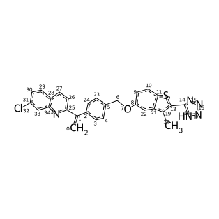 C=C(c1ccc(COc2ccc3sc(-c4nnn[nH]4)c(C)c3c2)cc1)c1ccc2ccc(Cl)cc2n1